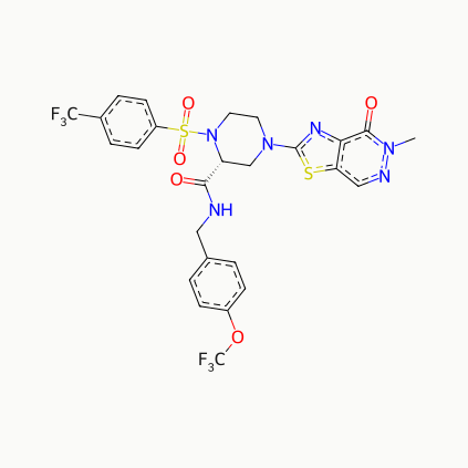 Cn1ncc2sc(N3CCN(S(=O)(=O)c4ccc(C(F)(F)F)cc4)[C@@H](C(=O)NCc4ccc(OC(F)(F)F)cc4)C3)nc2c1=O